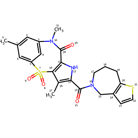 Cc1cc2cc(c1)S(=O)(=O)c1c([nH]c(C(=O)N3CCCc4sccc4C3)c1C)C(=O)N2C